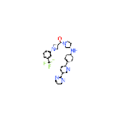 O=C(C1CN(c2cccc(C(F)(F)F)c2)C1)N1CC[C@H](NC2CC=C(c3ccc(-c4ncccn4)cn3)CC2)C1